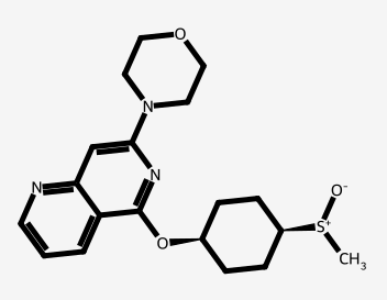 C[S+]([O-])[C@H]1CC[C@@H](Oc2nc(N3CCOCC3)cc3ncccc23)CC1